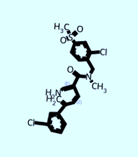 C=C(/C=C\C(=C/N)C(=O)N(C)Cc1ccc(S(C)(=O)=O)cc1Cl)c1cccc(Cl)c1